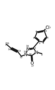 Cn1c(-c2ccc(Cl)cc2)nn(CC#CI)c1=O